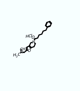 CN(C)Cc1cc2c(o1)CCN(C(=O)CCCCCc1ccccc1)C2.Cl